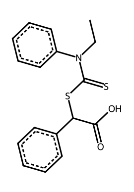 CCN(C(=S)SC(C(=O)O)c1ccccc1)c1ccccc1